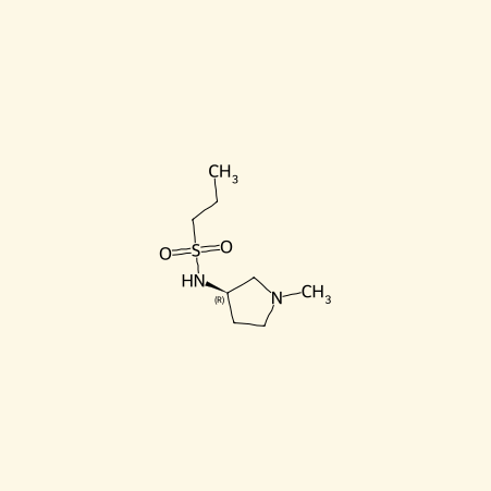 CCCS(=O)(=O)N[C@@H]1CCN(C)C1